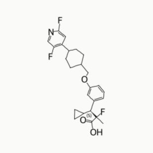 CC(F)(C(=O)O)[C@H](c1cccc(OCC2CCC(c3cc(F)ncc3F)CC2)c1)C1CC1